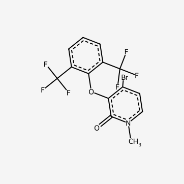 Cn1ccc(Br)c(Oc2c(C(F)(F)F)cccc2C(F)(F)F)c1=O